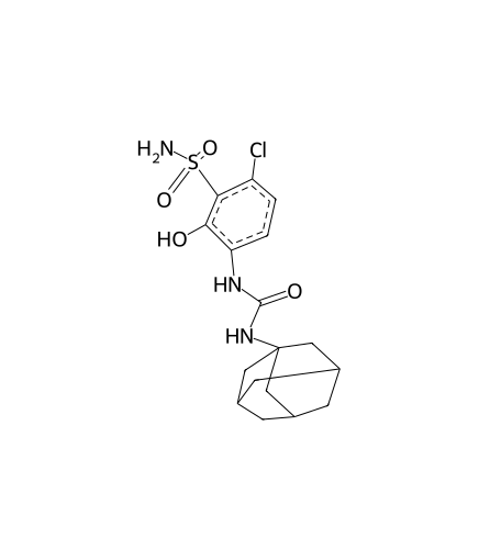 NS(=O)(=O)c1c(Cl)ccc(NC(=O)NC23CC4CC(CC(C4)C2)C3)c1O